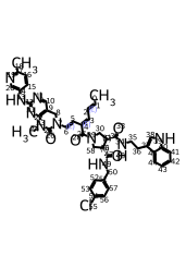 C/C=C/C=C(\C=C\N1Cc2cnc(Nc3ccc(C)nc3)nc2N(C)C1=O)C(=O)N1C[C@@H](C(=O)NCCc2c[nH]c3ccccc23)[C@H](C(=O)NCc2ccc(Cl)cc2)C1